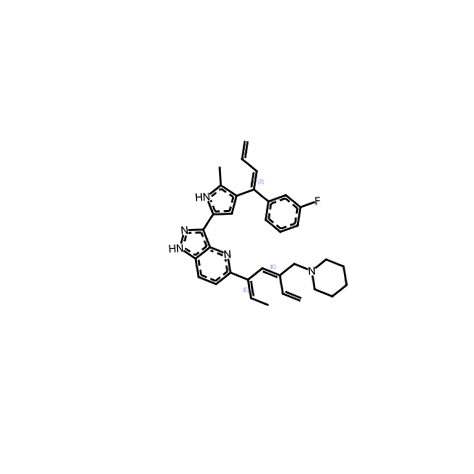 C=C/C=C(/c1cccc(F)c1)c1cc(-c2n[nH]c3ccc(C(/C=C(\C=C)CN4CCCCC4)=C/C)nc23)[nH]c1C